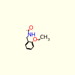 CCOc1ccccc1CN[C]=O